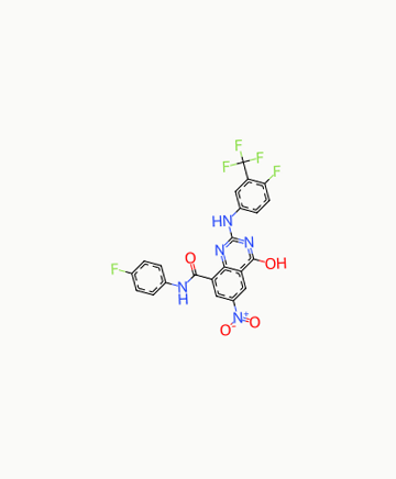 O=C(Nc1ccc(F)cc1)c1cc([N+](=O)[O-])cc2c(O)nc(Nc3ccc(F)c(C(F)(F)F)c3)nc12